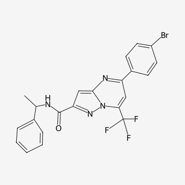 CC(NC(=O)c1cc2nc(-c3ccc(Br)cc3)cc(C(F)(F)F)n2n1)c1ccccc1